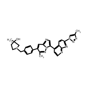 Cc1cn(-c2ccc3c(-c4cnc5cc(-c6ccc(CN7CC[C@](C)(O)C7)cc6)c(C)nn45)ccnc3n2)nn1